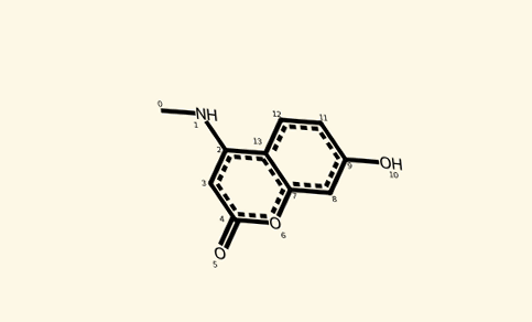 CNc1cc(=O)oc2cc(O)ccc12